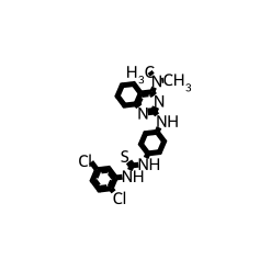 CN(C)c1nc(NC2CCC(NC(=S)Nc3cc(Cl)ccc3Cl)CC2)nc2c1CCCC2